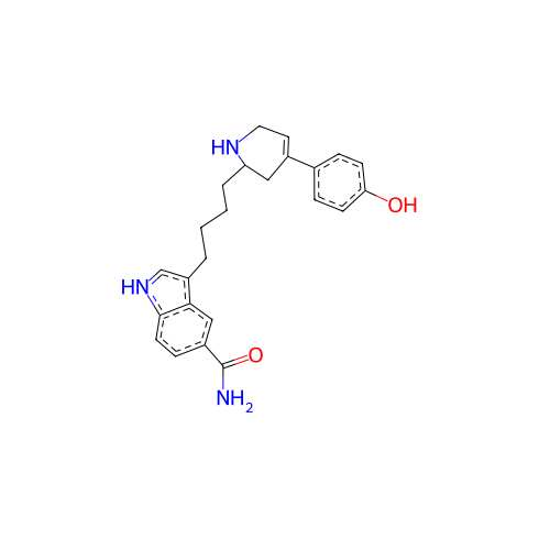 NC(=O)c1ccc2[nH]cc(CCCCC3CC(c4ccc(O)cc4)=CCN3)c2c1